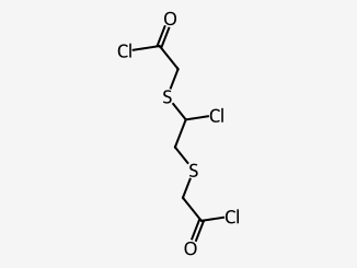 O=C(Cl)CSCC(Cl)SCC(=O)Cl